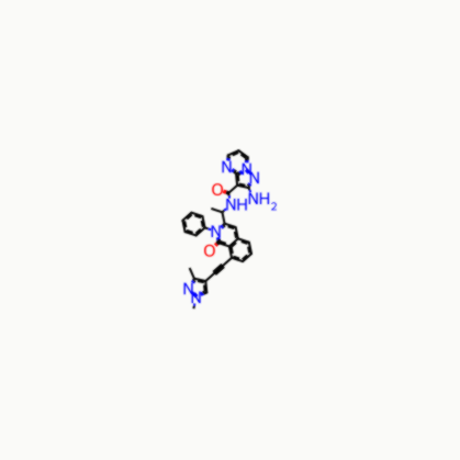 Cc1nn(C)cc1C#Cc1cccc2cc(C(C)NC(=O)c3c(N)nn4cccnc34)n(-c3ccccc3)c(=O)c12